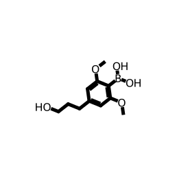 COc1cc(CCCO)cc(OC)c1B(O)O